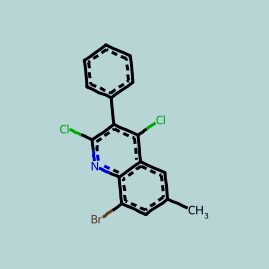 Cc1cc(Br)c2nc(Cl)c(-c3ccccc3)c(Cl)c2c1